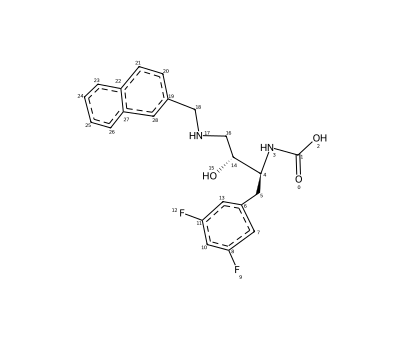 O=C(O)N[C@@H](Cc1cc(F)cc(F)c1)[C@H](O)CNCc1ccc2ccccc2c1